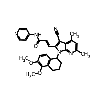 COc1ccc2c(c1OC)CCCC2n1c(C=CC(=O)Nc2ccncc2)c(C#N)c2c(C)cc(C)nc21